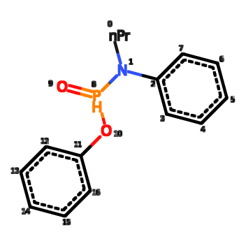 CCCN(c1ccccc1)[PH](=O)Oc1ccccc1